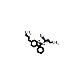 CC/C=C(/C#N)OC(=O)C1(C2CCC(CCCC)CC2)CCCCC1